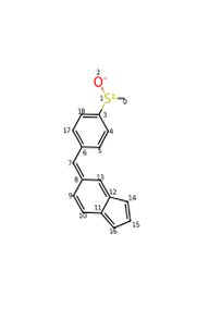 C[S+]([O-])c1ccc(/C=c2/ccc3c(c2)C=CC=3)cc1